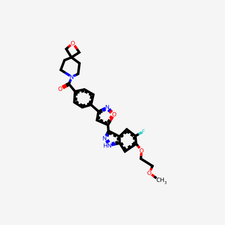 COCCOc1cc2[nH]nc(-c3cc(-c4ccc(C(=O)N5CCC6(CC5)COC6)cc4)no3)c2cc1F